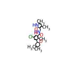 CC1=CC(C)=C(CNC(=O)c2cc(Cl)cc(C3CC(C)(C)CCC3=O)c2C)C(O)N1